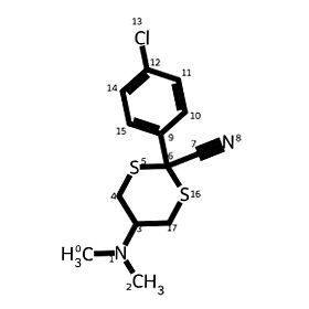 CN(C)C1CSC(C#N)(c2ccc(Cl)cc2)SC1